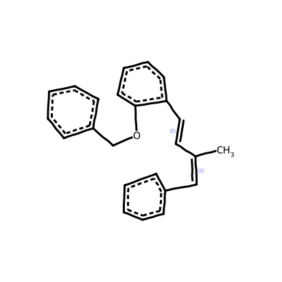 CC(=C/c1ccccc1)/C=C/c1ccccc1OCc1ccccc1